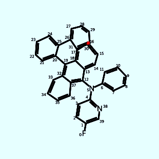 Fc1ccc(N(c2ccccc2)c2c3ccccc3c(-c3ccccc3-c3ccccc3)c3ccccc23)nc1